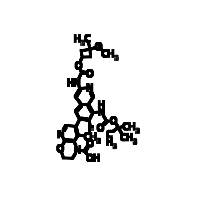 COC1(C)CC(OC(=O)Nc2cc3cc(-c4cnc5c(c4C)N(C(=O)O)CCO5)c(F)c(NC(=O)OC(C)(C)C)c3cn2)C1